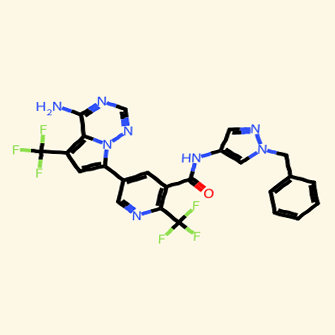 Nc1ncnn2c(-c3cnc(C(F)(F)F)c(C(=O)Nc4cnn(Cc5ccccc5)c4)c3)cc(C(F)(F)F)c12